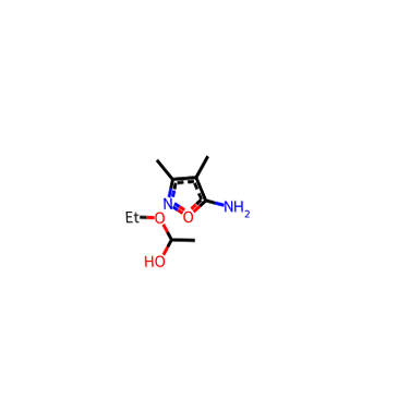 CCOC(C)O.Cc1noc(N)c1C